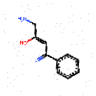 N=C(/C=C(\O)CN)c1ccccc1